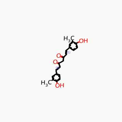 Cc1cc(/C=C/C(=O)CC(=O)/C=C/c2ccc(O)c(C)c2)ccc1O